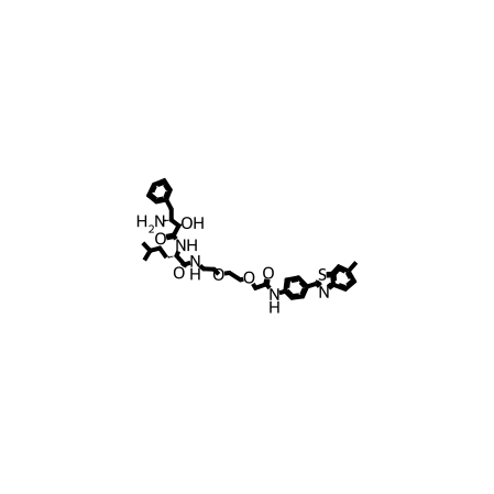 Cc1ccc2nc(-c3ccc(NC(=O)COCCOCCNC(=O)[C@H](CCC(C)C)NC(=O)[C@@H](O)[C@H](N)Cc4ccccc4)cc3)sc2c1